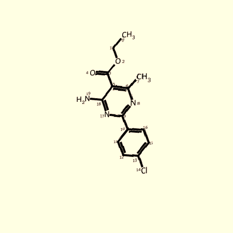 CCOC(=O)c1c(C)nc(-c2ccc(Cl)cc2)nc1N